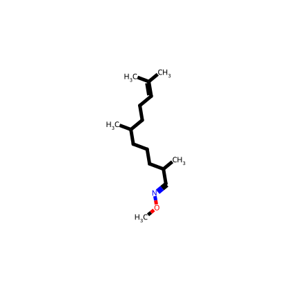 CO/N=C/C(C)CCCC(C)CCC=C(C)C